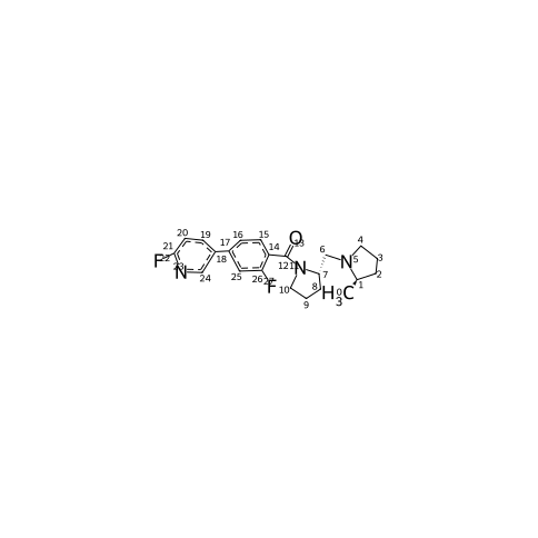 C[C@@H]1CCCN1C[C@@H]1CCCN1C(=O)c1ccc(-c2ccc(F)nc2)cc1F